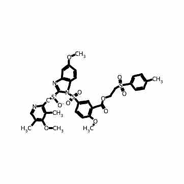 COc1ccc2c(c1)nc([S+]([O-])Cc1ncc(C)c(OC)c1C)n2S(=O)(=O)c1ccc(OC)c(C(=O)OCCS(=O)(=O)c2ccc(C)cc2)c1